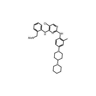 CNCc1ccccc1Nc1nc(Nc2ccc(N3CCC(N4CCCCC4)CC3)cc2C)ncc1Cl